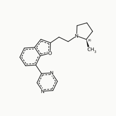 C[C@@H]1CCCN1CCc1cc2cccc(-c3cnccn3)c2o1